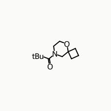 CC(C)(C)C(=O)N1CCOC2(CCC2)C1